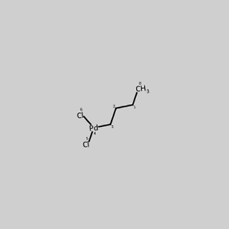 CCC[CH2][Pd]([Cl])[Cl]